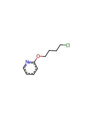 ClCCCCOc1ccccn1